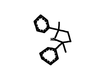 CC1(c2ccccc2)CCC(C)(c2ccccc2)N1